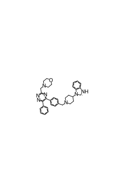 [CH]1Nc2ccccc2N1C1CCN(Cc2ccc(-c3nc(CN4CCOCC4)nnc3-c3ccccc3)cc2)CC1